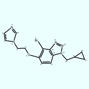 Brc1c(OCCn2ccnc2)ccc2c1nnn2CC1CC1